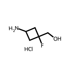 Cl.NC1CC(F)(CO)C1